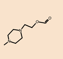 CN1CCN(CCO[C]=O)CC1